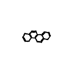 C1=CCC2=CCc3c(ccc4c3CC=CC4)C2=C1